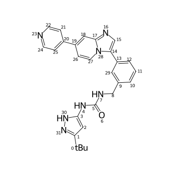 CC(C)(C)c1cc(NC(=O)NCc2cccc(-c3cnc4cc(-c5ccncc5)ccn34)c2)[nH]n1